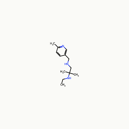 CCNC(C)(C)CNCc1ccc(C)nc1